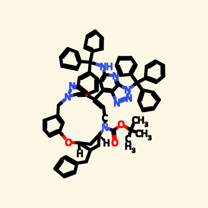 CC(C)(C)OC(=O)N1C/C=C(/c2cc(NC(c3ccccc3)(c3ccccc3)c3ccccc3)nc3c2nnn3C(c2ccccc2)(c2ccccc2)c2ccccc2)c2cnn(c2)Cc2cccc(c2)O[C@@H]2C[C@@H]1CC2Cc1ccccc1